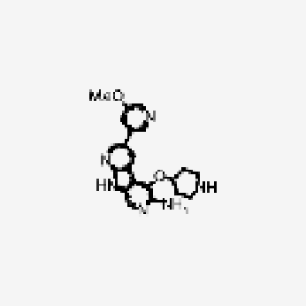 COc1cncc(-c2cnc3[nH]c4cnc(N)c(OC5CCNCC5)c4c3c2)c1